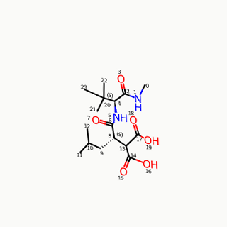 CNC(=O)[C@@H](NC(=O)[C@@H](CC(C)C)C(C(=O)O)C(=O)O)C(C)(C)C